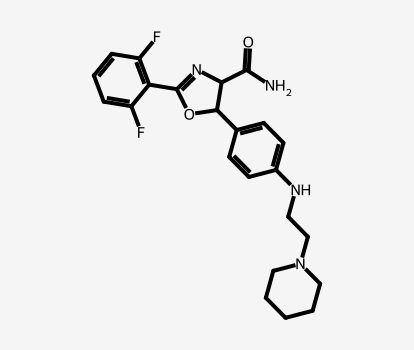 NC(=O)C1N=C(c2c(F)cccc2F)OC1c1ccc(NCCN2CCCCC2)cc1